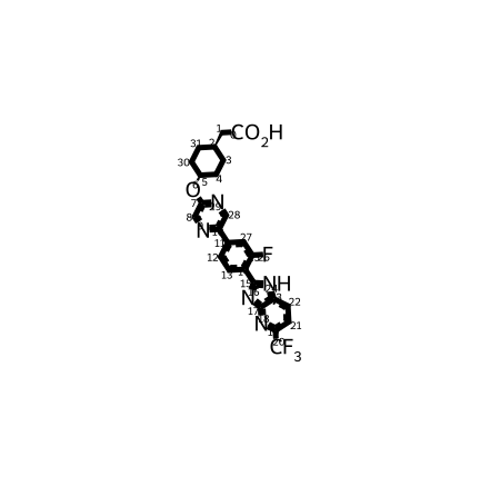 O=C(O)C[C@H]1CC[C@H](Oc2cnc(-c3ccc(-c4nc5nc(C(F)(F)F)ccc5[nH]4)c(F)c3)cn2)CC1